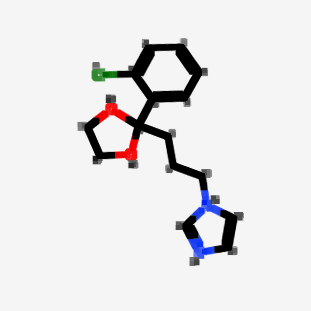 Clc1ccccc1C1(CCCn2ccnc2)OCCO1